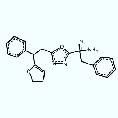 C[C@@](N)(Cc1ccccc1)c1nnc(CC(C2=CCCO2)c2ccccc2)o1